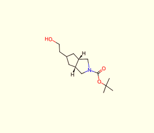 CC(C)(C)OC(=O)N1C[C@H]2CC(CCO)C[C@H]2C1